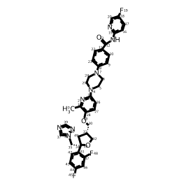 Cc1nc(N2CCN(c3ccc(C(=O)Nc4ccc(F)cn4)cc3)CC2)ccc1OC[C@@H]1CO[C@@](Cn2cncn2)(c2ccc(F)cc2F)C1